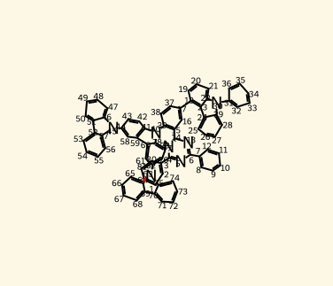 c1ccc(-c2nc(-c3ccccc3)nc(-c3cc(-c4cccc5c4c4ccccc4n5-c4ccccc4)ccc3-n3c4ccc(-n5c6ccccc6c6ccccc65)cc4c4cc(-n5c6ccccc6c6ccccc65)ccc43)n2)cc1